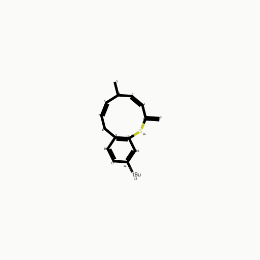 C=C1/C=C\C(C)/C=C\Cc2ccc(C(C)(C)C)cc2S1